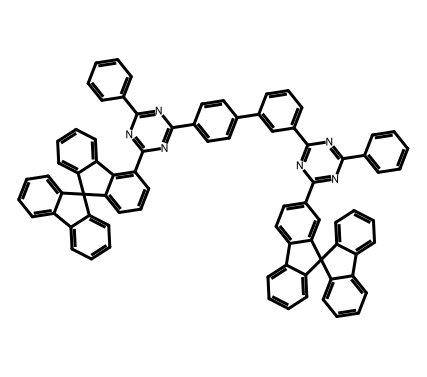 c1ccc(-c2nc(-c3cccc(-c4ccc(-c5nc(-c6ccccc6)nc(-c6cccc7c6-c6ccccc6C76c7ccccc7-c7ccccc76)n5)cc4)c3)nc(-c3ccc4c(c3)C3(c5ccccc5-c5ccccc53)c3ccccc3-4)n2)cc1